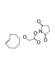 O=C(CO[C@H]1CC/C=C/CCC1)ON1C(=O)CCC1=O